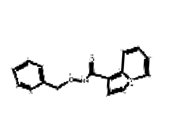 O=C(NOCc1ccccc1)c1ccn2ccccc12